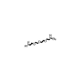 CC(C)NCCOCCOCCOCCNC(C)(C)C